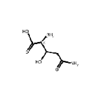 NC(=O)CC(O)[C@H](N)C(=O)O